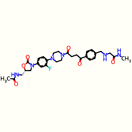 CNC(=O)CNCc1ccc(C(=O)CCC(=O)N2CCN(c3ccc(N4C[C@H](CNC(C)=O)OC4=O)cc3F)CC2)cc1